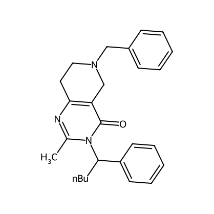 CCCCC(c1ccccc1)n1c(C)nc2c(c1=O)CN(Cc1ccccc1)CC2